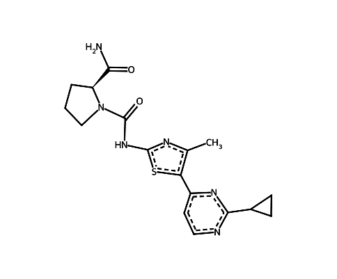 Cc1nc(NC(=O)N2CCC[C@H]2C(N)=O)sc1-c1ccnc(C2CC2)n1